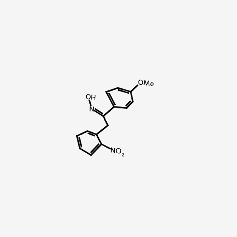 COc1ccc(/C(Cc2ccccc2[N+](=O)[O-])=N\O)cc1